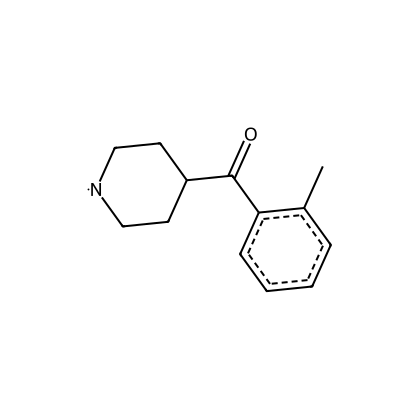 Cc1ccccc1C(=O)C1CC[N]CC1